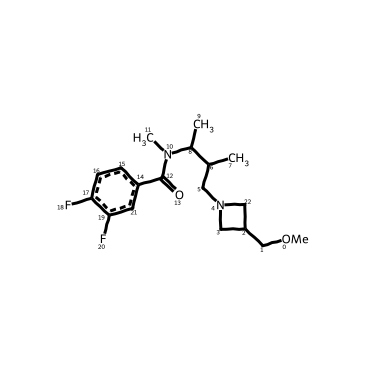 COCC1CN(CC(C)C(C)N(C)C(=O)c2ccc(F)c(F)c2)C1